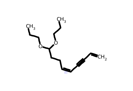 C=CC#C/C=C\CCC(OCCC)OCCC